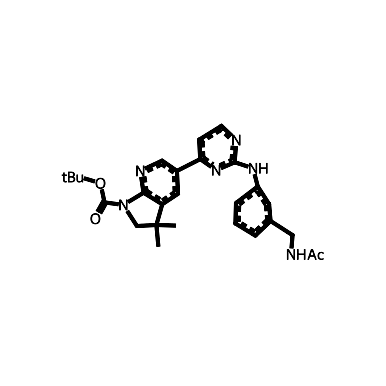 CC(=O)NCc1cccc(Nc2nccc(-c3cnc4c(c3)C(C)(C)CN4C(=O)OC(C)(C)C)n2)c1